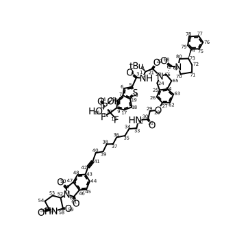 CC(C)(C)[C@H](NC(=O)c1cc2cc(C(F)(F)P(=O)(O)O)ccc2s1)C(=O)N1Cc2cc(OCC(=O)NCCCCCCCCC#Cc3ccc4c(c3)C(=O)N(C3CCC(=O)NC3=O)C4=O)ccc2C[C@H]1C(=O)N1CCC[C@H](c2ccccc2)C1